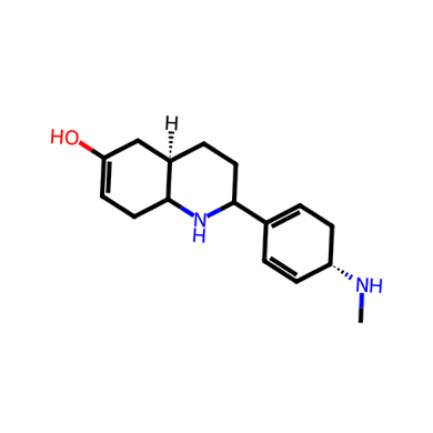 CN[C@@H]1C=CC(C2CC[C@@H]3CC(O)=CCC3N2)=CC1